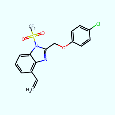 C=Cc1cccc2c1nc(COc1ccc(Cl)cc1)n2S(=O)(=O)C(F)(F)F